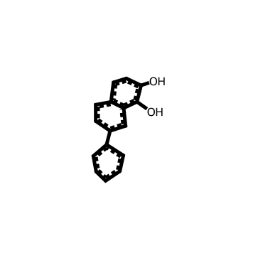 Oc1ccc2ccc(-c3ccccc3)cc2c1O